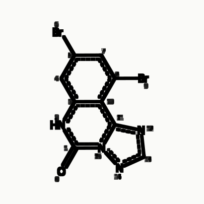 O=c1[nH]c2cc(Br)cc(Br)c2c2ncnn12